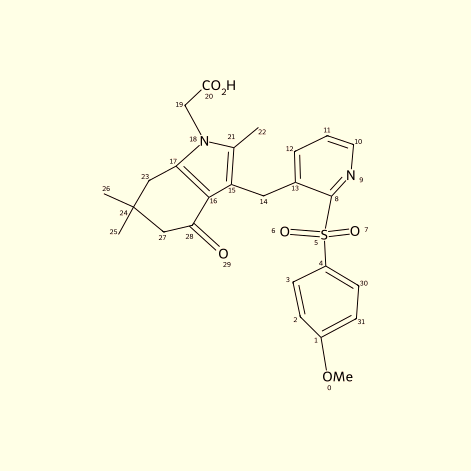 COc1ccc(S(=O)(=O)c2ncccc2Cc2c3c(n(CC(=O)O)c2C)CC(C)(C)CC3=O)cc1